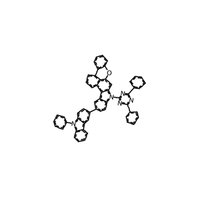 c1ccc(-c2nc(-c3ccccc3)nc(-n3c4ccc(-c5ccc6c(c5)c5ccccc5n6-c5ccccc5)cc4c4c5cccc6c5c(cc43)Oc3ccccc3-6)n2)cc1